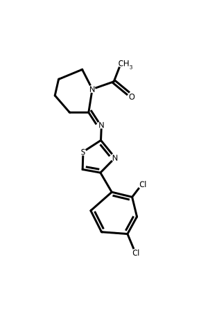 CC(=O)N1CCCCC1=Nc1nc(-c2ccc(Cl)cc2Cl)cs1